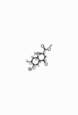 COC(=O)c1cc(=O)c2cc(Br)c(C)cc2[nH]1